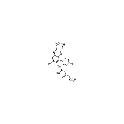 CC(C)c1cc(OCCO)c(OCCO)c(-c2ccc(F)cc2)c1/C=C/C(O)CC(=O)CC(=O)O